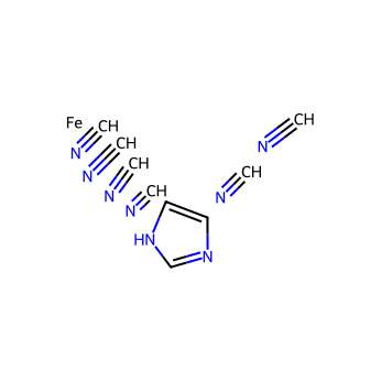 C#N.C#N.C#N.C#N.C#N.C#N.[Fe].c1c[nH]cn1